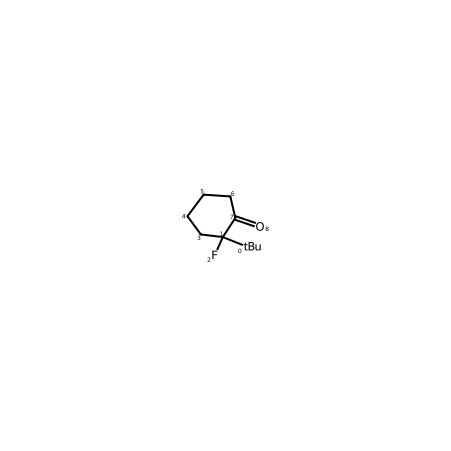 CC(C)(C)C1(F)CCCCC1=O